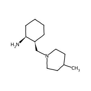 CC1CCN(C[C@@H]2CCCC[C@@H]2N)CC1